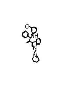 C=C(c1cn(CCN2CCCCC2)c2ccccc12)C(Nc1cccc(Cl)c1)c1ccccc1